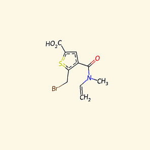 C=CN(C)C(=O)c1cc(C(=O)O)sc1CBr